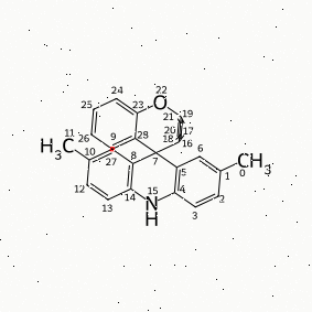 Cc1ccc2c(c1)C1(c3cc(C)ccc3N2)c2ccccc2Oc2ccccc21